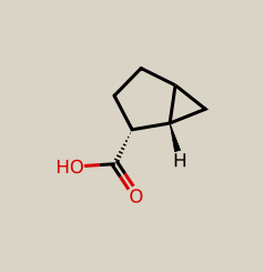 O=C(O)[C@@H]1CCC2C[C@@H]21